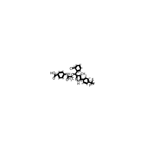 Cc1c(C(OC(C)C(=O)Nc2ccc(C(=O)O)cc2)c2ccccc2Cl)n[nH]c1-c1ccc(C(F)(F)F)cc1